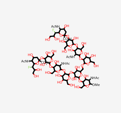 COC1OC(CO)C(OC2OC(COC3OC(CO)C(O)C(O)C3OC3OC(CO)C(OC4OC(CO)C(O)C(OC5(C(=O)O)CC(O)C(NC(C)=O)C([C@H](F)C(O)CO)O5)C4O)C(O)C3NC(C)=O)C(O)C(OC3OC(CO)C(O)C(O)C3OC3OC(CO)C(OC4OC(CO)C(O)C(OC5(C(=O)O)CC(O)C(NC(C)=O)C([C@H](F)C(O)CO)O5)C4O)C(O)C3NC(C)=O)C2O)C(O)C1NC(C)=O